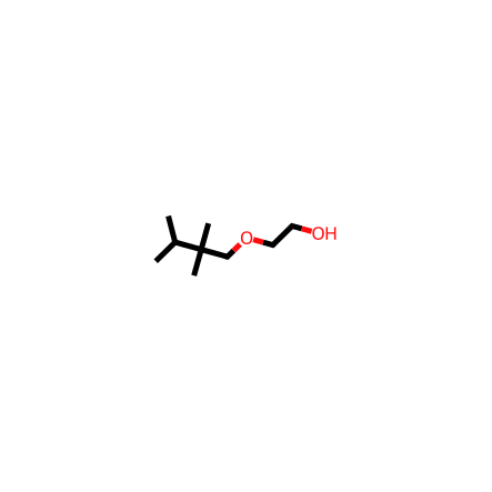 CC(C)C(C)(C)COCCO